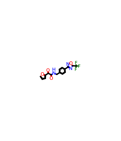 O=C(NCc1ccc(-c2noc(C(F)(F)F)n2)cc1)C(=O)c1ccco1